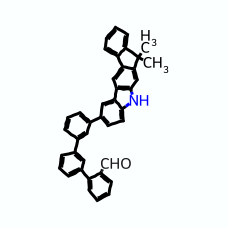 CC1(C)c2ccccc2-c2cc3c(cc21)[nH]c1ccc(-c2cccc(-c4cccc(-c5ccccc5C=O)c4)c2)cc13